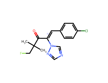 CC(C)(CF)C(=O)/C(=C/c1ccc(Cl)cc1)n1cncn1